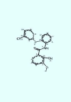 COc1ccnc(C(=O)Nc2ccccc2Oc2cccc(Cl)c2)c1O